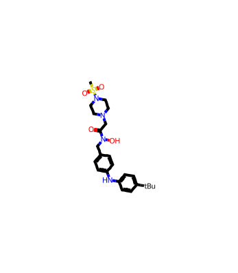 CC(C)(C)c1ccc(Nc2ccc(CN(O)C(=O)CN3CCN(S(C)(=O)=O)CC3)cc2)cc1